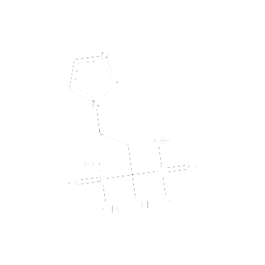 O=C(CC(O)(P(=O)(O)O)P(=O)(O)O)n1ccnc1